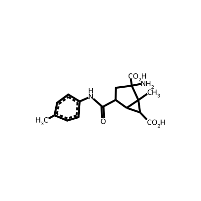 Cc1ccc(NC(=O)C2CC(N)(C(=O)O)C3(C)C(C(=O)O)C23)cc1